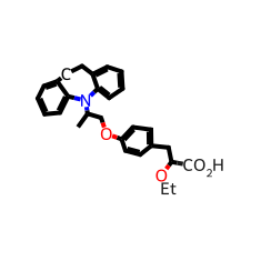 CCOC(Cc1ccc(OCC(C)N2c3ccccc3CCc3ccccc32)cc1)C(=O)O